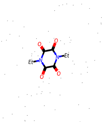 CCN1C(=O)C(=O)N(CC)C(=O)C1=O